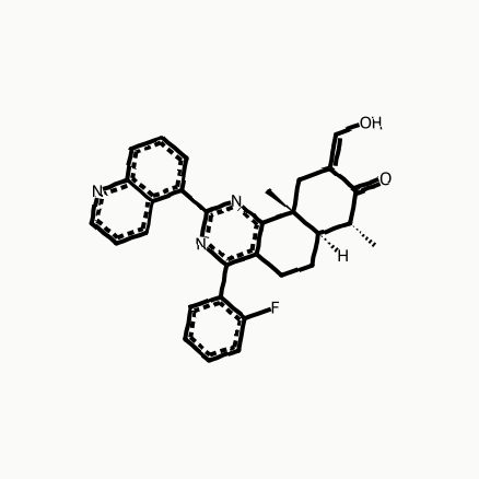 C[C@H]1C(=O)/C(=C\O)C[C@@]2(C)c3nc(-c4cccc5ncccc45)nc(-c4ccccc4F)c3CC[C@H]12